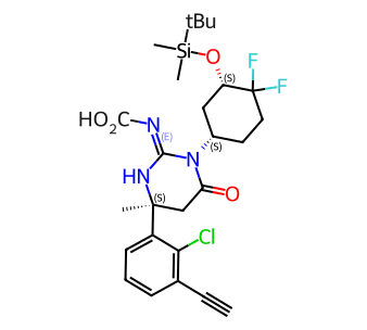 C#Cc1cccc([C@]2(C)CC(=O)N([C@H]3CCC(F)(F)[C@@H](O[Si](C)(C)C(C)(C)C)C3)/C(=N/C(=O)O)N2)c1Cl